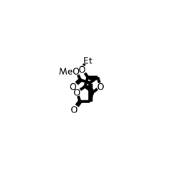 CCOc1c2c3oc1c(C(=O)OC)c3C(=O)O2